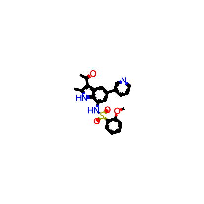 COc1ccccc1S(=O)(=O)Nc1cc(-c2cccnc2)cc2c(C(C)=O)c(C)[nH]c12